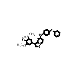 COc1cc(-c2cnn3ccc(Nc4ccc(Oc5ccccc5)cc4)nc23)cc(OC)c1OC